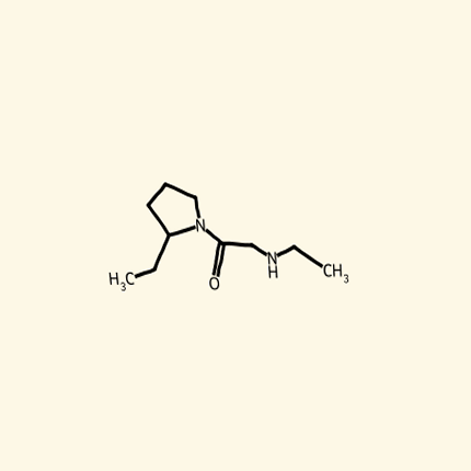 CCNCC(=O)N1CCCC1CC